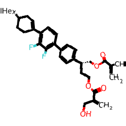 C=C(C)C(=O)OC[C@H](CCOC(=O)C(=C)CO)c1ccc(-c2ccc(C3=CCC(CCCCCC)CC3)c(F)c2F)cc1